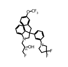 O[C@@H](CF)CN1CC(Cc2cccc(OC(F)(F)F)c2)(c2cccc(N3CCC(F)(F)C3)c2)c2ccccc21